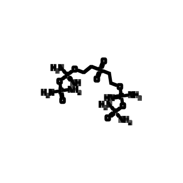 N=P(N)(OCCS(=O)(=O)CCOP(=N)(N)OP(N)(N)=O)OP(N)(N)=O